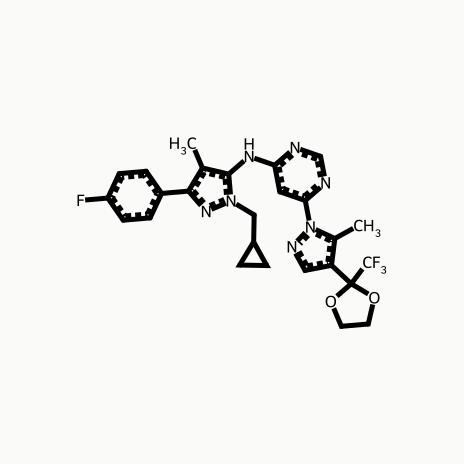 Cc1c(-c2ccc(F)cc2)nn(CC2CC2)c1Nc1cc(-n2ncc(C3(C(F)(F)F)OCCO3)c2C)ncn1